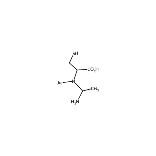 CC(=O)N(C(C)N)C(CS)C(=O)O